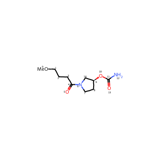 COCCCC(=O)N1CC[C@H](OC(N)=O)C1